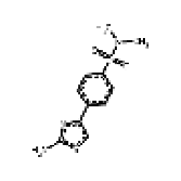 CN(C)S(=O)(=O)c1ccc(-c2csc(N)n2)cc1